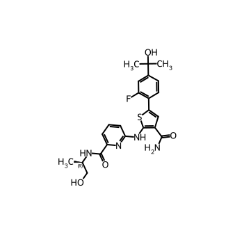 C[C@H](CO)NC(=O)c1cccc(Nc2sc(-c3ccc(C(C)(C)O)cc3F)cc2C(N)=O)n1